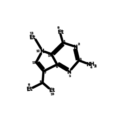 CCc1nc(N)nc2c(C(CC)CC)cn(CC)c12